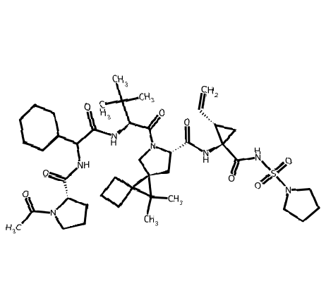 C=C[C@@H]1C[C@]1(NC(=O)[C@@H]1C[C@@]2(CN1C(=O)[C@@H](NC(=O)C(NC(=O)[C@@H]1CCCN1C(C)=O)C1CCCCC1)C(C)(C)C)C(C)(C)C21CCC1)C(=O)NS(=O)(=O)N1CCCC1